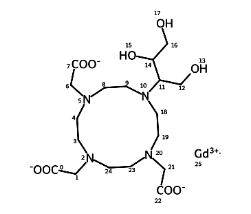 O=C([O-])CN1CCN(CC(=O)[O-])CCN(C(CO)C(O)CO)CCN(CC(=O)[O-])CC1.[Gd+3]